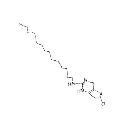 CCCCCCCCCCCCCCNC1=NSc2sc(Cl)cc2N1